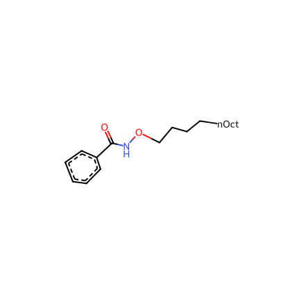 CCCCCCCCCCCCONC(=O)c1ccccc1